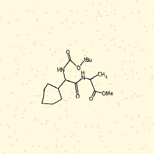 COC(=O)C(C)NC(=O)C(NC(=O)OC(C)(C)C)C1CCCCC1